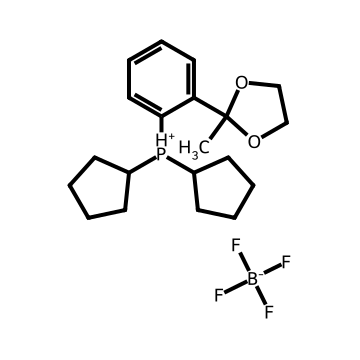 CC1(c2ccccc2[PH+](C2CCCC2)C2CCCC2)OCCO1.F[B-](F)(F)F